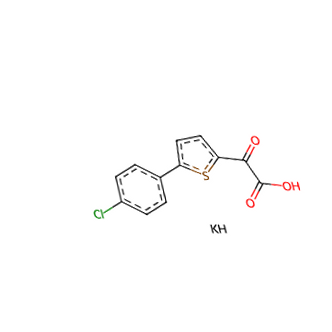 O=C(O)C(=O)c1ccc(-c2ccc(Cl)cc2)s1.[KH]